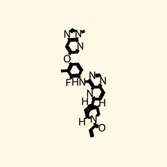 C=CC(=O)N1C[C@H]2CC[C@@H]1C[C@@H]2c1ccc2ncnc(Nc3ccc(Oc4cnc5c(c4)ncn5C)c(C)c3F)c2n1